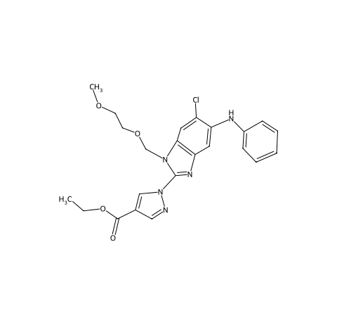 CCOC(=O)c1cnn(-c2nc3cc(Nc4ccccc4)c(Cl)cc3n2COCCOC)c1